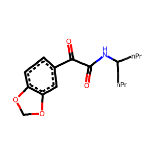 CCCC(CCC)NC(=O)C(=O)c1ccc2c(c1)OCO2